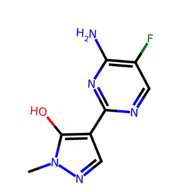 Cn1ncc(-c2ncc(F)c(N)n2)c1O